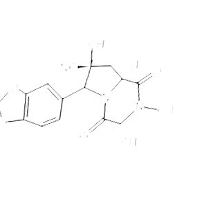 C[C@@H]1C(=O)N2C(c3ccc4c(c3)OCO4)[C@@](C)(C#N)C[C@H]2C(=O)N1C